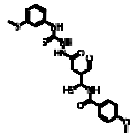 COc1ccc(C(=O)NC(S)C(C=O)CC(=O)NNC(=S)Nc2cccc(SC)c2)cc1